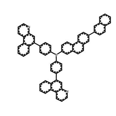 c1ccc2cc(-c3ccc4c(ccc5cc(N(c6ccc(-c7cc8ncccc8c8ccccc78)cc6)c6ccc(-c7cc8ncccc8c8ccccc78)cc6)ccc54)c3)ccc2c1